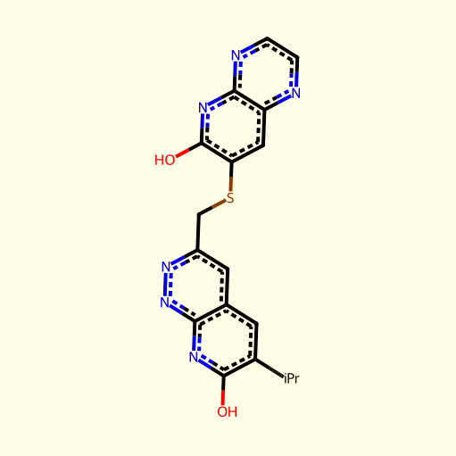 CC(C)c1cc2cc(CSc3cc4nccnc4nc3O)nnc2nc1O